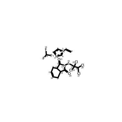 C=Cn1ccnc1.FC(F)F.O=C1C2CC=CCC2C(=O)N1SC(Cl)(Cl)C(Cl)Cl